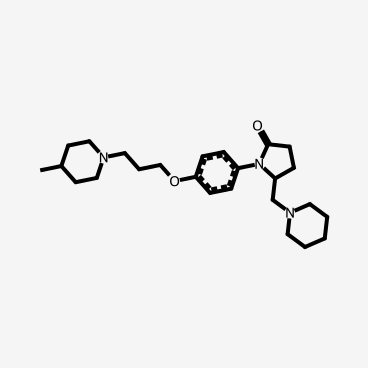 CC1CCN(CCCOc2ccc(N3C(=O)CCC3CN3CCCCC3)cc2)CC1